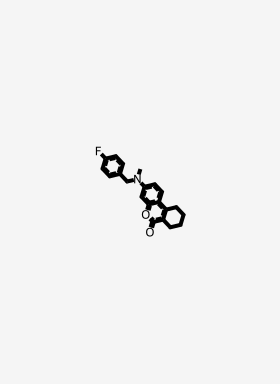 CN(Cc1ccc(F)cc1)c1ccc2c3c(c(=O)oc2c1)CCCC3